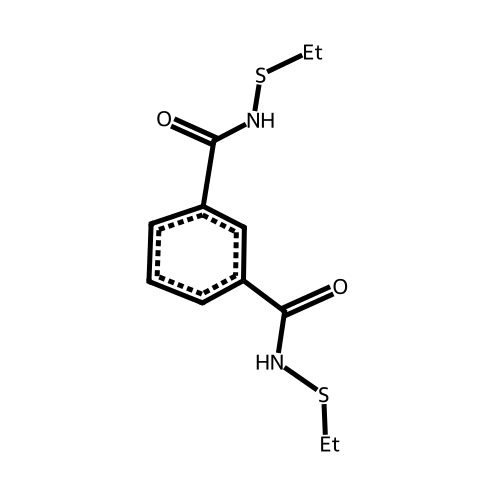 CCSNC(=O)c1cccc(C(=O)NSCC)c1